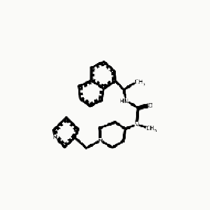 CC(NC(=O)N(C)C1CCN(Cc2cccnc2)CC1)c1cccc2ccccc12